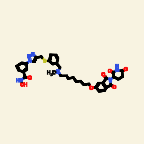 CN(CCCCCCCCOc1ccc2c(c1)C(=O)N(C1CCC(=O)NC1=O)C2=O)Cc1cccc(SCc2cn(-c3cccc(C(=O)NO)c3)nn2)c1